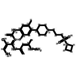 C=C(/C=C(/C)NN)NC(=N/C(=C)Nc1cc(C)c(C2CCN(CCCS(=O)(=O)N3CCC3)CC2)cc1F)/C(Cl)=C\N